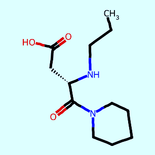 CCCN[C@@H](CC(=O)O)C(=O)N1CCCCC1